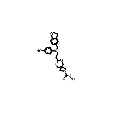 CC(C)(C)OC(=O)N1CC2(COC(CCN(Cc3ccc4c(c3)CCO4)c3ccc(C#N)cc3)OC2)C1